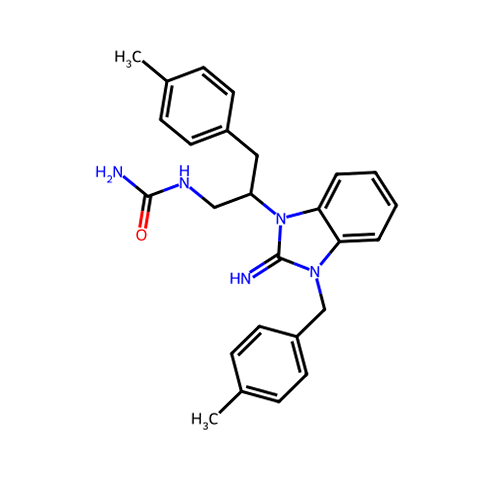 Cc1ccc(CC(CNC(N)=O)n2c(=N)n(Cc3ccc(C)cc3)c3ccccc32)cc1